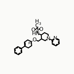 CS(=O)(=O)NC1CCN(c2ccccn2)CC1CO[C@H]1CC=C(c2ccccc2)CC1